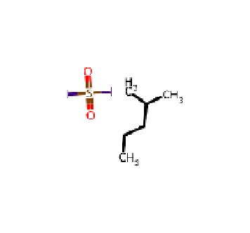 CCCC(C)C.O=S(=O)(I)I